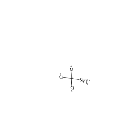 [H+].[SiH3]C(Cl)(Cl)Cl